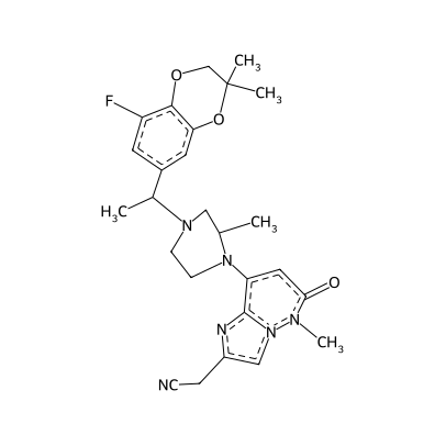 CC(c1cc(F)c2c(c1)OC(C)(C)CO2)N1CCN(c2cc(=O)n(C)n3cc(CC#N)nc23)C(C)C1